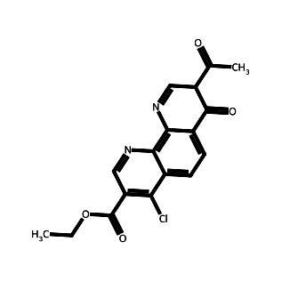 CCOC(=O)c1cnc2c3c(ccc2c1Cl)C(=O)C(C(C)=O)C=N3